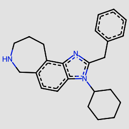 c1ccc(Cc2nc3c4c(ccc3n2C2CCCCC2)CNCCC4)cc1